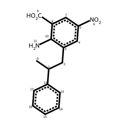 CC(Cc1cc([N+](=O)[O-])cc(C(=O)O)c1N)c1ccccc1